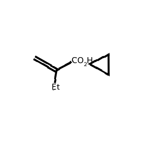 C1CC1.C=C(CC)C(=O)O